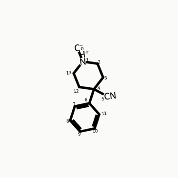 [CH2-][NH+]1CCC(C#N)(c2ccccc2)CC1